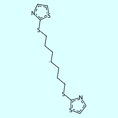 [CH](CCCSc1nccs1)CCCSc1nccs1